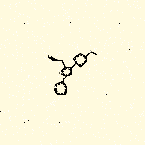 COc1ccc(-c2cn(-c3ccccc3)nc2CC#N)cc1